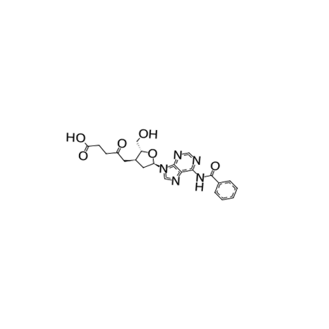 O=C(O)CCC(=O)C[C@@H]1C[C@H](n2cnc3c(NC(=O)c4ccccc4)ncnc32)O[C@H]1CO